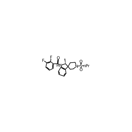 CCCS(=O)(=O)N1CCC(c2ccccc2)([C@H](C)NC(=O)c2cccc(F)c2F)CC1